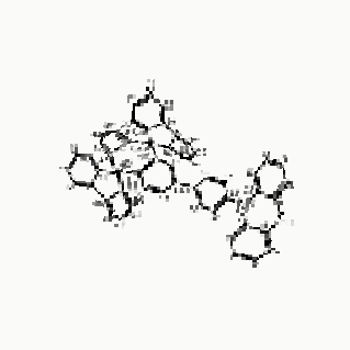 c1ccc2c(c1)Sc1ccccc1N2c1ccc(-c2ccc3c(c2)C2(c4ccccc4-c4ccccc42)c2ccccc2C32c3ccccc3-c3ccccc32)cc1